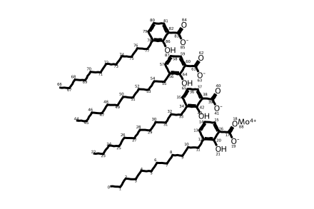 CCCCCCCCCCCCc1cccc(C(=O)[O-])c1O.CCCCCCCCCCCCc1cccc(C(=O)[O-])c1O.CCCCCCCCCCCCc1cccc(C(=O)[O-])c1O.CCCCCCCCCCCCc1cccc(C(=O)[O-])c1O.[Mo+4]